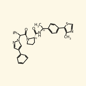 Cc1ncsc1-c1ccc([C@H](C)NC(=O)[C@@H]2CCCN2C(=O)C(C(C)C)n2cc(-c3ccccc3)cn2)cc1